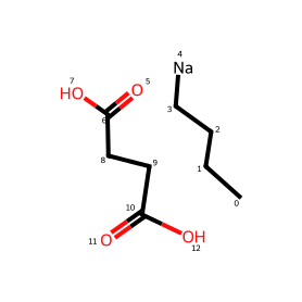 CCC[CH2][Na].O=C(O)CCC(=O)O